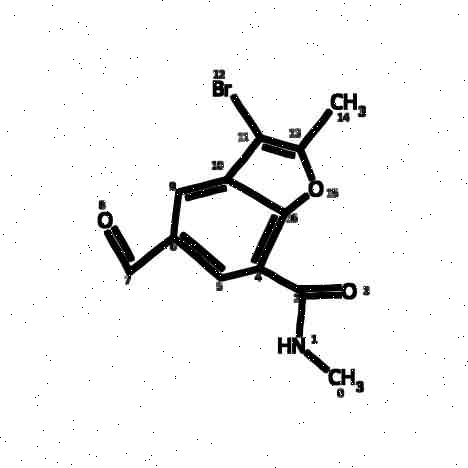 CNC(=O)c1cc(C=O)cc2c(Br)c(C)oc12